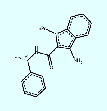 CCCn1c(C(=O)N[C@@H](C)c2ccccc2)c(N)c2ccccc21